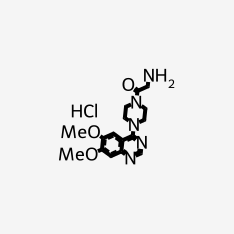 COc1cc2ncnc(N3CCN(C(=O)CN)CC3)c2cc1OC.Cl